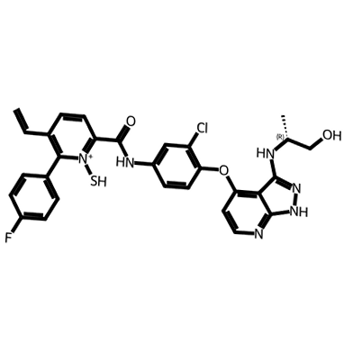 C=Cc1ccc(C(=O)Nc2ccc(Oc3ccnc4[nH]nc(N[C@H](C)CO)c34)c(Cl)c2)[n+](S)c1-c1ccc(F)cc1